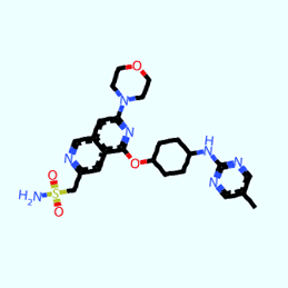 Cc1cnc(NC2CCC(Oc3nc(N4CCOCC4)cc4cnc(CS(N)(=O)=O)cc34)CC2)nc1